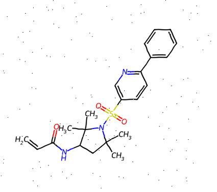 C=CC(=O)NC1CC(C)(C)N(S(=O)(=O)c2ccc(-c3ccccc3)nc2)C1(C)C